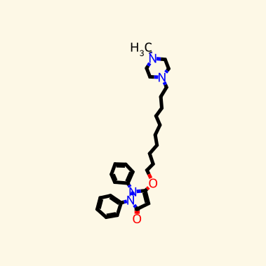 CN1CCN(CCCCCCCCCCOc2cc(=O)n(-c3ccccc3)n2-c2ccccc2)CC1